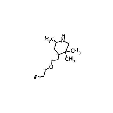 CC(C)CCOCCC1C[C@@H](C)NCC1(C)C